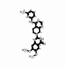 COc1cc2nc(N3CCc4c(ncnc4Nc4cccc(C)n4)C3)[nH]c(=O)c2cc1OC